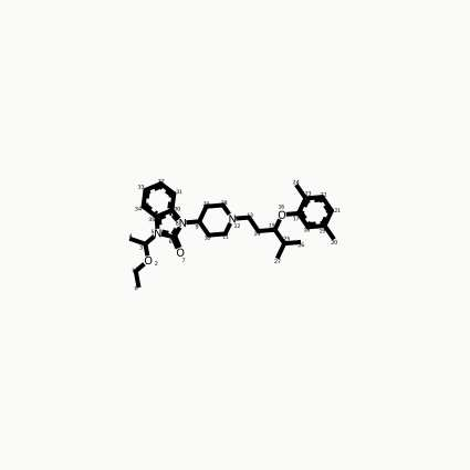 CCOC(C)n1c(=O)n(C2CCN(CCC(Oc3cc(C)ccc3C)C(C)C)CC2)c2ccccc21